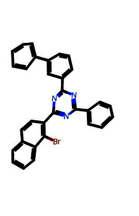 Brc1c(-c2nc(-c3ccccc3)nc(-c3cccc(-c4ccccc4)c3)n2)ccc2ccccc12